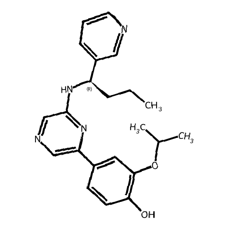 CCC[C@@H](Nc1cncc(-c2ccc(O)c(OC(C)C)c2)n1)c1cccnc1